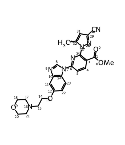 COC(=O)c1ccc(-n2cnc3cc(OCCN4CCOCC4)ccc32)nc1-n1nc(C#N)cc1C